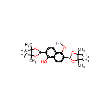 COc1c(B2OC(C)(C)C(C)(C)O2)ccc2c(O)c(B3OC(C)(C)C(C)(C)O3)ccc12